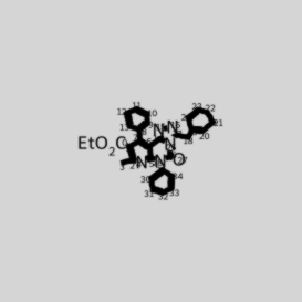 CCOC(=O)c1c(C)nc2c(c1-c1ccccc1)c1nnc(CC3=CCCC=C3)n1c(=O)n2-c1ccccc1